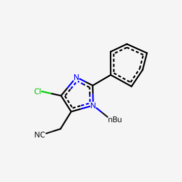 CCCCn1c(-c2ccccc2)nc(Cl)c1CC#N